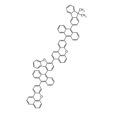 CC1(C)c2ccccc2-c2cc(-c3c4ccccc4c(-c4ccc5c(c4)Oc4cccc6c(-c7ccc(-c8c9ccccc9c(-c9ccc%10c(c9)Oc9cccc%11cccc-%10c9%11)c9ccccc89)c8c7oc7ccccc78)ccc-5c46)c4ccccc34)ccc21